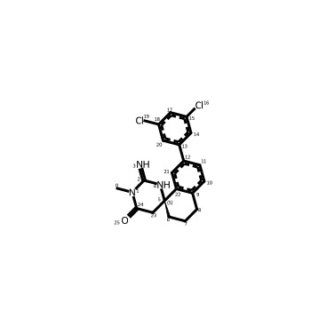 CN1C(=N)N[C@@]2(CCCc3ccc(-c4cc(Cl)cc(Cl)c4)cc32)CC1=O